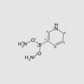 NOB(ON)C1=CNCC=C1